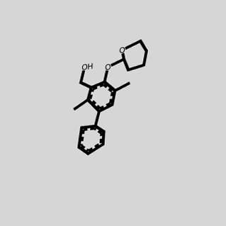 Cc1cc(-c2ccccc2)c(C)c(CO)c1OC1CCCCO1